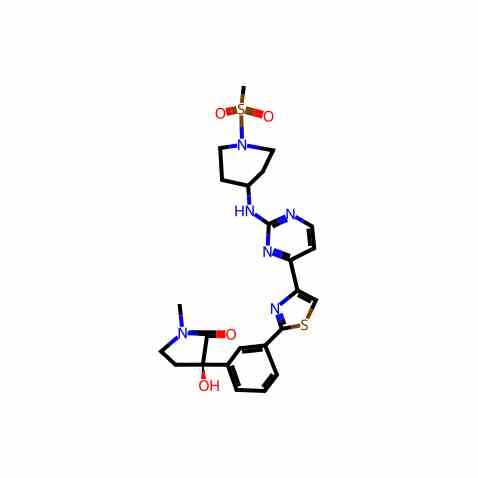 CN1CC[C@@](O)(c2cccc(-c3nc(-c4ccnc(NC5CCN(S(C)(=O)=O)CC5)n4)cs3)c2)C1=O